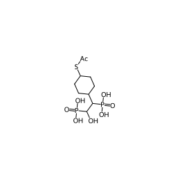 CC(=O)SC1CCC(C(C(O)P(=O)(O)O)P(=O)(O)O)CC1